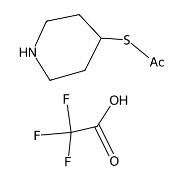 CC(=O)SC1CCNCC1.O=C(O)C(F)(F)F